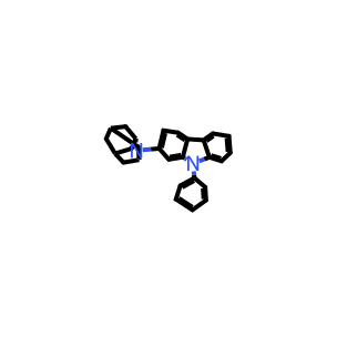 c1ccc(-n2c3ccccc3c3ccc(N4C5CC6CC(C5)CC4C6)cc32)cc1